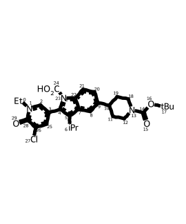 CCn1cc(-c2c(C(C)C)c3cc(C4CCN(C(=O)OC(C)(C)C)CC4)ccc3n2C(=O)O)cc(Cl)c1=O